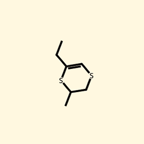 CCC1=CSCC(C)S1